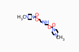 CN1CCN(C(=O)OCCNCCOC(=O)N2CCN(C)CC2)CC1